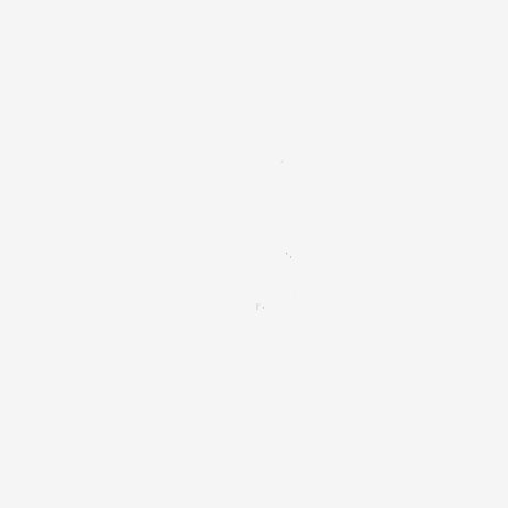 COc1ccc(CCNC(=O)C(=O)NCc2ccc(Cl)cc2)cc1